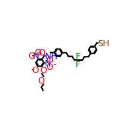 CCCOCCOc1c(OC)cc([N+](=O)[O-])c(C(=O)NCc2ccc(CCCCC(F)(F)CCCc3ccc(CS)cc3)cc2)c1[N+](=O)[O-]